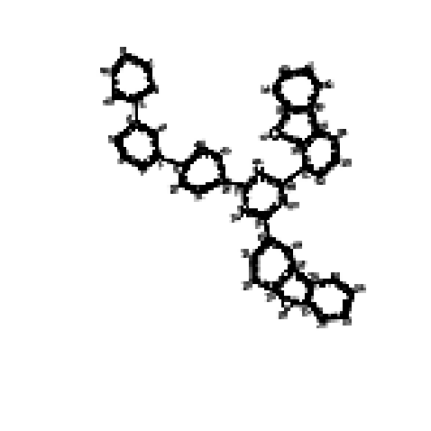 c1ccc(-c2cccc(-c3ccc(-c4nc(-c5ccc6oc7ccccc7c6c5)nc(-c5cccc6c5oc5ccccc56)n4)cc3)c2)cc1